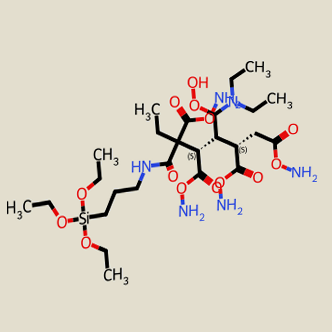 CCO[Si](CCCNC(=O)C(CC)(C(=O)ON)[C@@H](C(=O)ON)C(C(OO)N(CC)CC)[C@H](CC(=O)ON)C(=O)ON)(OCC)OCC